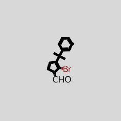 CC(C)(C1=C(Br)C(C=O)CC1)c1ccccc1